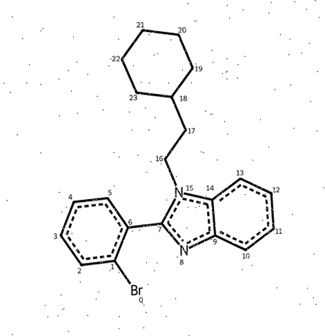 Brc1ccccc1-c1nc2ccccc2n1CCC1CCCCC1